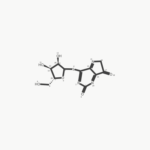 O=C1N=C(SC2O[C@H](CO)[C@@H](O)[C@H]2O)C2=NCC(=O)C2=N1